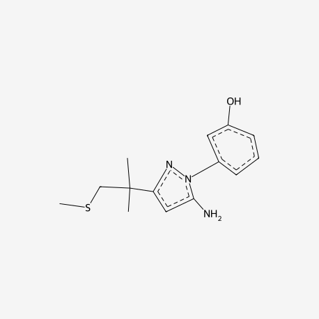 CSCC(C)(C)c1cc(N)n(-c2cccc(O)c2)n1